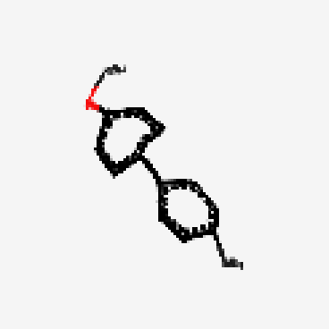 CCCCOc1ccc(-c2ccc(CCCC)cc2)cc1